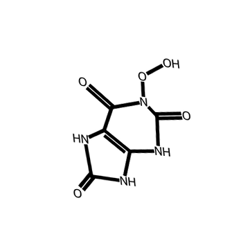 O=c1[nH]c2[nH]c(=O)n(OO)c(=O)c2[nH]1